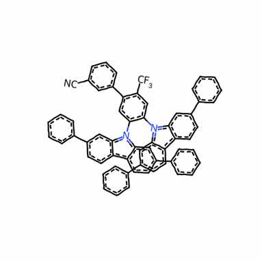 N#Cc1cccc(-c2cc(-n3c4cc(-c5ccccc5)ccc4c4ccc(-c5ccccc5)cc43)c(-n3c4cc(-c5ccccc5)ccc4c4ccc(-c5ccccc5)cc43)cc2C(F)(F)F)c1